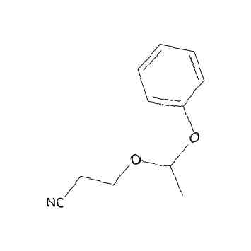 CC(OCCC#N)Oc1ccccc1